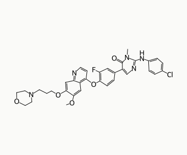 COc1cc2c(Oc3ccc(-c4cnc(Nc5ccc(Cl)cc5)n(C)c4=O)cc3F)ccnc2cc1OCCCN1CCOCC1